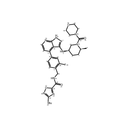 C[C@H]1CC[C@@H](Nc2n[nH]c3nccc(-c4ccc(CNC(=O)c5nc(C(C)(C)C)no5)c(F)c4)c23)CN1C(=O)N1CCOCC1